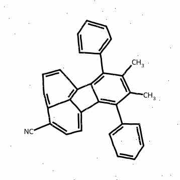 Cc1c(C)c(-c2ccccc2)c2c(c1-c1ccccc1)-c1cccc3c(C#N)ccc-2c13